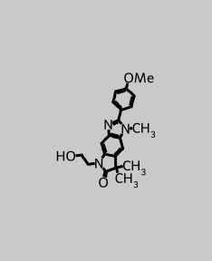 COc1ccc(-c2nc3cc4c(cc3n2C)C(C)(C)C(=O)N4CCO)cc1